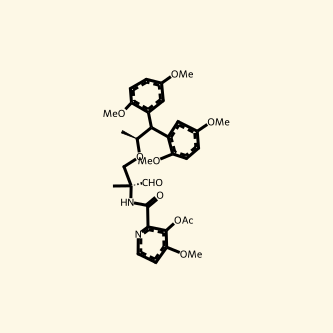 COc1ccc(OC)c(C(c2cc(OC)ccc2OC)[C@H](C)OC[C@@](C)(C=O)NC(=O)c2nccc(OC)c2OC(C)=O)c1